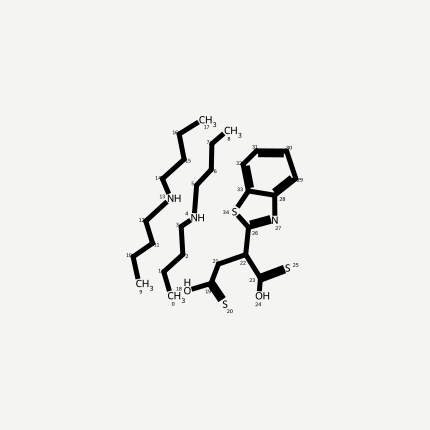 CCCCNCCCC.CCCCNCCCC.OC(=S)CC(C(O)=S)c1nc2ccccc2s1